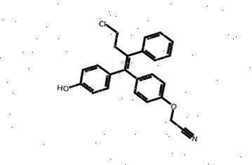 N#CCOc1ccc(/C(=C(/CCCl)c2ccccc2)c2ccc(O)cc2)cc1